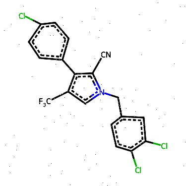 N#Cc1c(-c2ccc(Cl)cc2)c(C(F)(F)F)cn1Cc1ccc(Cl)c(Cl)c1